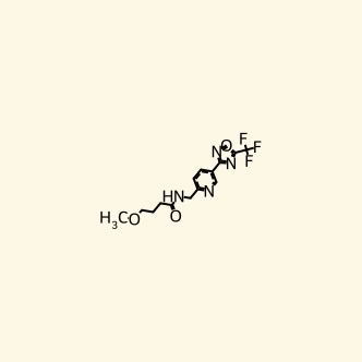 COCCCC(=O)NCc1ccc(-c2noc(C(F)(F)F)n2)cn1